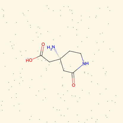 N[C@]1(CC(=O)O)CCNC(=O)C1